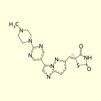 CN1CCN(c2ncc(-c3cnc4ccc(/C=C5\SC(=O)NC5=O)nn34)cn2)CC1